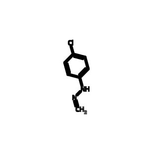 C=NNc1ccc(Cl)cc1